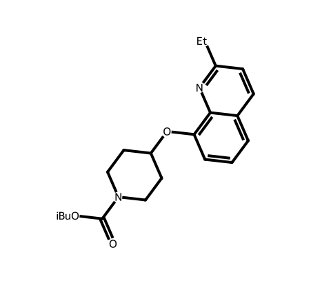 CCc1ccc2cccc(OC3CCN(C(=O)OCC(C)C)CC3)c2n1